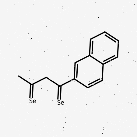 CC(=[Se])CC(=[Se])c1ccc2ccccc2c1